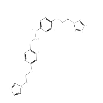 B(Oc1ccc(OCCn2ccnc2)cc1)Oc1ccc(OCCn2ccnc2)cc1